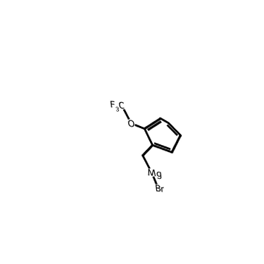 FC(F)(F)Oc1ccccc1[CH2][Mg][Br]